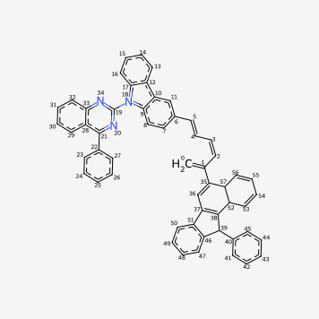 C=C(/C=C\C=C\c1ccc2c(c1)c1ccccc1n2-c1nc(-c2ccccc2)c2ccccc2n1)C1=CC2=C(C(c3ccccc3)c3ccccc32)C2C=CC=CC12